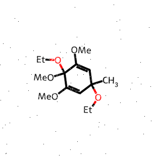 CCOC1(C)C=C(OC)C(OC)(OCC)C(OC)=C1